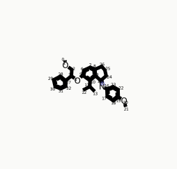 COCC(Oc1ccc2c(c1C(C)C)/C(=N/c1ccc(OC)cc1)CCC2)c1ccccc1